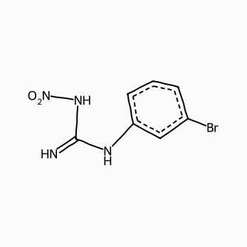 N=C(Nc1cccc(Br)c1)N[N+](=O)[O-]